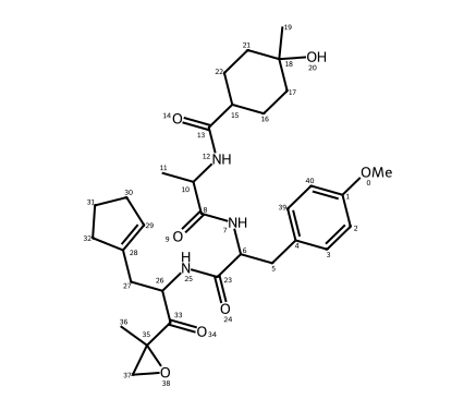 COc1ccc(CC(NC(=O)C(C)NC(=O)C2CCC(C)(O)CC2)C(=O)NC(CC2=CCCC2)C(=O)C2(C)CO2)cc1